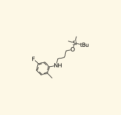 Cc1ccc(F)cc1NCCCO[Si](C)(C)C(C)(C)C